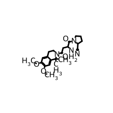 COc1cc2c(cc1OC)C(C)(C)N(C(=O)CC(N)C(=O)N1CCCC1C#N)CC2